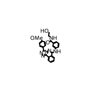 COc1ccc(-c2nnc3c4ccccc4c(Nc4cccc(C(=O)NCCO)c4)nn23)cc1